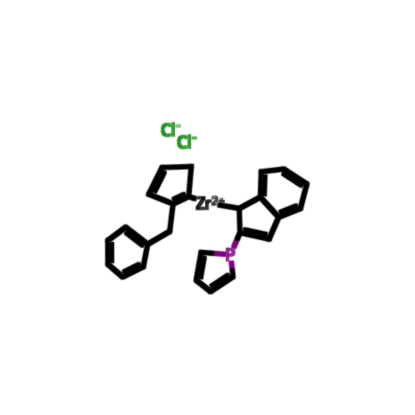 C1=CC(Cc2ccccc2)=[C]([Zr+2][CH]2C(p3cccc3)=Cc3ccccc32)C1.[Cl-].[Cl-]